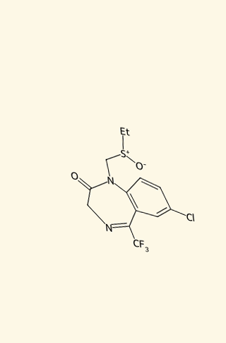 CC[S+]([O-])CN1C(=O)CN=C(C(F)(F)F)c2cc(Cl)ccc21